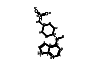 CN(c1ncnc2[nH]ccc12)[C@H]1CC[C@H](C[SH](=O)=O)CC1